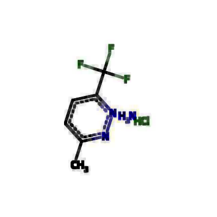 Cc1ccc(C(F)(F)F)nn1.Cl.N